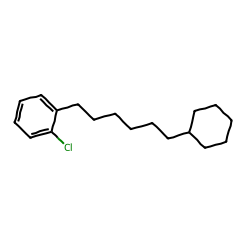 Clc1ccccc1CCCCCCC1CCCCC1